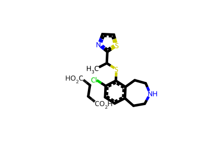 CC(Sc1c(Cl)ccc2c1CCNCC2)c1nccs1.O=C(O)CCC(=O)O